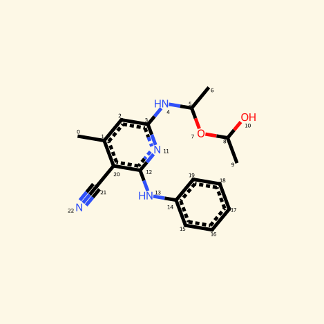 Cc1cc(NC(C)OC(C)O)nc(Nc2ccccc2)c1C#N